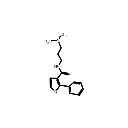 CN(C)CCCNC(=N)c1ccoc1-c1ccccc1